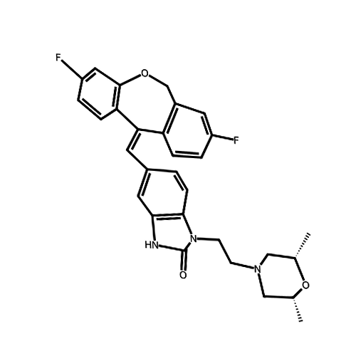 C[C@@H]1CN(CCn2c(=O)[nH]c3cc(/C=C4\c5ccc(F)cc5COc5cc(F)ccc54)ccc32)C[C@H](C)O1